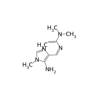 C/C=C(\N=C/c1ncn(C)c1N)N(C)C